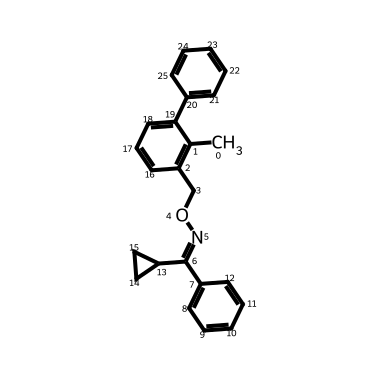 Cc1c(CO/N=C(/c2ccccc2)C2CC2)cccc1-c1ccccc1